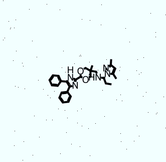 CCC(NCC1(C)COC(c2nc(-c3ccccc3)c(-c3ccccc3)[nH]2)OC1)n1nc(C)cc1C